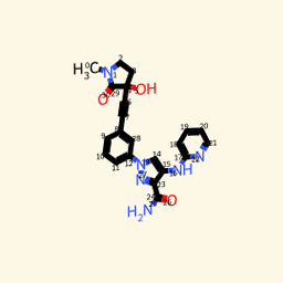 CN1CCC(O)(C#Cc2cccc(-n3cc(Nc4ccccn4)c(C(N)=O)n3)c2)C1=O